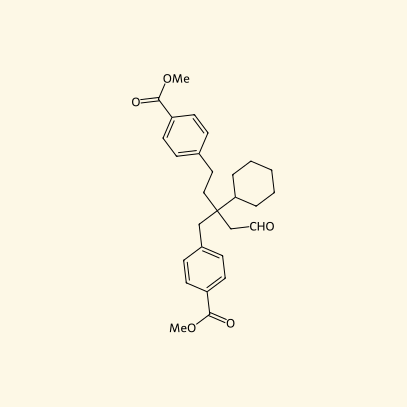 COC(=O)c1ccc(CCC(CC=O)(Cc2ccc(C(=O)OC)cc2)C2CCCCC2)cc1